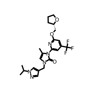 Cc1cn(Cc2cnn(C(C)C)c2)c(=O)n1-c1cc(C(F)(F)F)cc(OC[C@@H]2CCCO2)n1